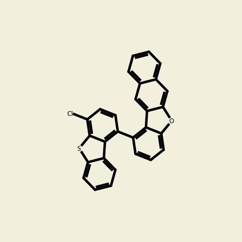 Clc1ccc(-c2cccc3oc4cc5ccccc5cc4c23)c2c1sc1ccccc12